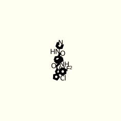 NC(C(=O)NCC1(c2ccc(F)cc2Cl)CCCC1)C1C2CC3CC1C(C(=O)Nc1ccncc1)(C3)C2